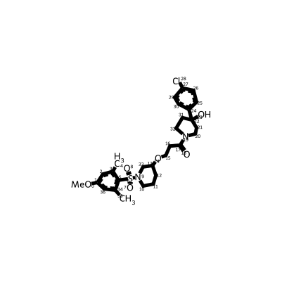 COc1cc(C)c(S(=O)(=O)N2CCCC(OCCC(=O)N3CCC(O)(c4ccc(Cl)cc4)CC3)C2)c(C)c1